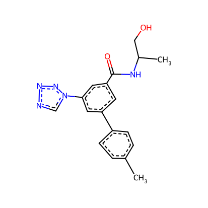 Cc1ccc(-c2cc(C(=O)NC(C)CO)cc(-n3cnnn3)c2)cc1